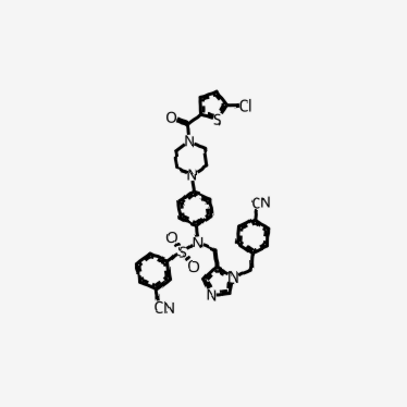 N#Cc1ccc(Cn2cncc2CN(c2ccc(N3CCN(C(=O)c4ccc(Cl)s4)CC3)cc2)S(=O)(=O)c2cccc(C#N)c2)cc1